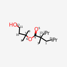 CC(C)CC(C)(C(=O)OC(C)(C)CCO)C(C)C